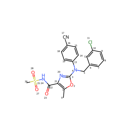 Cc1oc(N(Cc2cccc(Cl)c2)c2ccc(C#N)cc2)nc1C(=O)NS(C)(=O)=O